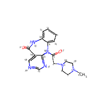 CN1CCN(CC(=O)N2c3ccccc3NC(=O)c3cncnc32)CC1